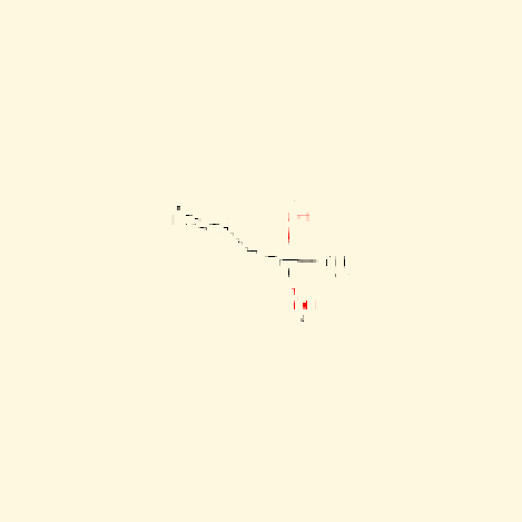 [CH]=CCC(C)(O)O